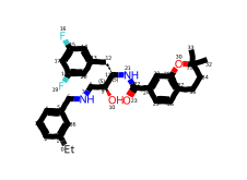 CCc1cccc(CNC[C@H](O)[C@H](Cc2cc(F)cc(F)c2)NC(=O)c2ccc3c(c2)OC(C)(C)CC3)c1